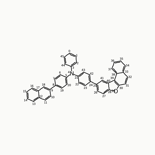 c1ccc(N(c2ccc(-c3ccc4ccccc4c3)cc2)c2ccc(-c3ccc4oc5ccc6ccccc6c5c4c3)cc2)cc1